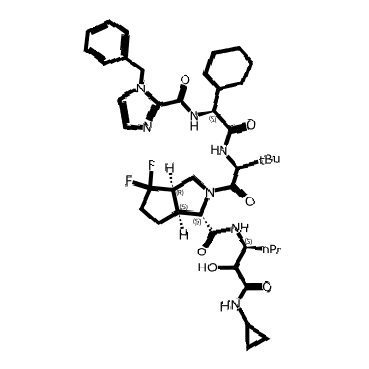 CCC[C@H](NC(=O)[C@@H]1[C@H]2CCC(F)(F)[C@H]2CN1C(=O)C(NC(=O)[C@@H](NC(=O)c1nccn1Cc1ccccc1)C1CCCCC1)C(C)(C)C)C(O)C(=O)NC1CC1